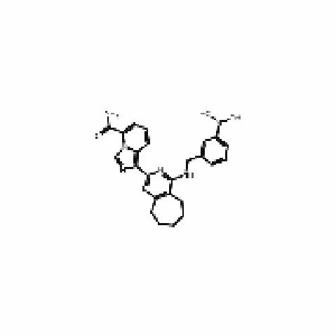 NC(=O)c1cccc2c(-c3nc4c(c(NCc5cccc(B(O)O)c5)n3)CCCCC4)ncn12